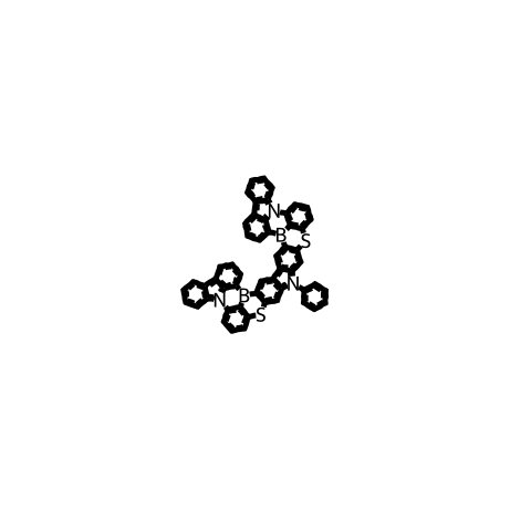 c1ccc(-n2c3cc4c(cc3c3cc5c(cc32)Sc2cccc3c2B5c2cccc5c6ccccc6n-3c25)B2c3c(cccc3-n3c5ccccc5c5cccc2c53)S4)cc1